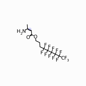 C/C(N)=C/C(=O)OCCCC(F)(F)C(F)(F)C(F)(F)C(F)(F)C(F)(F)C(F)(F)F